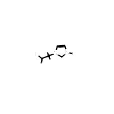 CCN1C=CN(C(F)(F)C(F)F)C1